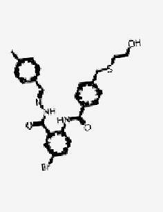 Cc1ccc(/C=N/NC(=O)c2cc(Br)ccc2NC(=O)c2ccc(CSCCO)cc2)cc1